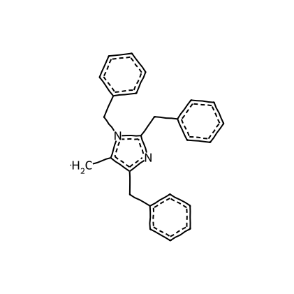 [CH2]c1c(Cc2ccccc2)nc(Cc2ccccc2)n1Cc1ccccc1